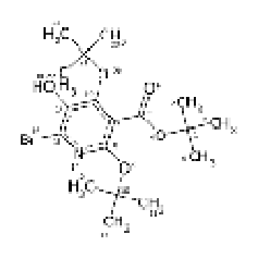 CC(C)(C)OC(=O)c1c(OC(C)(C)C)nc(Br)c(O)c1OC(C)(C)C